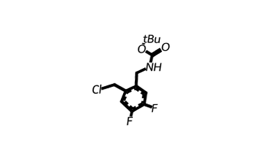 CC(C)(C)OC(=O)NCc1cc(F)c(F)cc1CCl